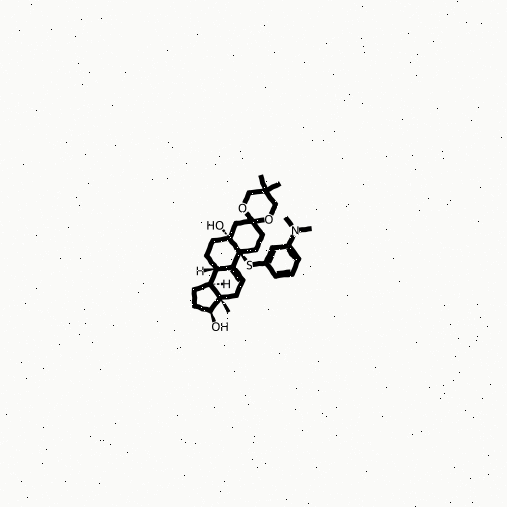 CN(C)c1cccc(S[C@]23CCC4(C[C@]2(O)CC[C@@H]2C3=CC[C@]3(C)[C@@H](O)CC[C@@H]23)OCC(C)(C)CO4)c1